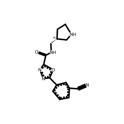 N#Cc1cccc(-c2nnc(C(=O)NC[C@@H]3CCNC3)o2)c1